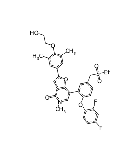 CCS(=O)(=O)Cc1ccc(Oc2ccc(F)cc2F)c(-c2cn(C)c(=O)c3cc(-c4cc(C)c(OCCO)c(C)c4)oc23)c1